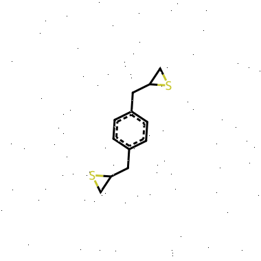 c1cc(CC2CS2)ccc1CC1CS1